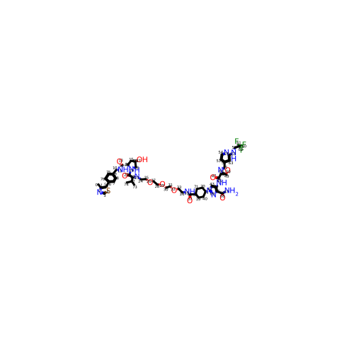 Cc1ncsc1-c1ccc(CNC(=O)[C@@H]2C[C@@H](O)CN2C(=O)[C@@H](NCCOCCOCCOCCNC(=O)C2CCC(n3cc(NC(=O)c4coc(-c5ccnc(NCC(F)(F)F)c5)n4)c(C(N)=O)n3)CC2)C(C)C)cc1